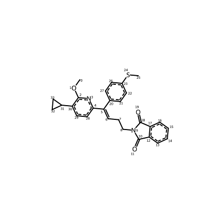 COc1nc(/C(=C/CCN2C(=O)c3ccccc3C2=O)c2ccc(SC)cc2)ccc1C1CC1